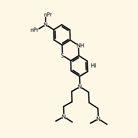 CCCN(CCC)c1ccc2c(c1)Sc1cc(N(CCCN(C)C)CCCN(C)C)ccc1N2.I